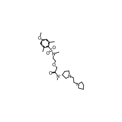 COc1cc(C)c(S(=O)(=O)N(C)CCOCC(=O)N(C)[C@@H]2CCN(CCN3CCCC3)C2)c(C)c1